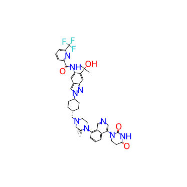 C[C@@H]1CN(C[C@H]2CC[C@H](n3cc4cc(NC(=O)c5cccc(C(F)(F)F)n5)c(C(C)(C)O)cc4n3)CC2)CCN1c1cccc2c(N3CCC(=O)NC3=O)cncc12